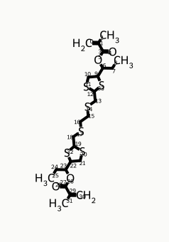 C=C(C)C(=O)OC(CC)C1CSC(CSCCSCC2SCC(C(CC)OC(=O)C(=C)C)S2)S1